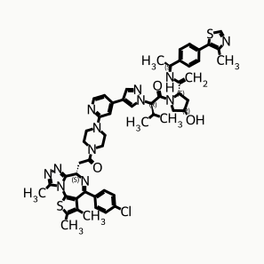 C=C(N[C@@H](C)c1ccc(-c2scnc2C)cc1)[C@@H]1C[C@@H](O)CN1C(=O)[C@@H](C(C)C)n1cc(-c2ccnc(N3CCN(C(=O)C[C@@H]4N=C(c5ccc(Cl)cc5)c5c(sc(C)c5C)-n5c(C)nnc54)CC3)c2)cn1